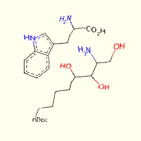 CCCCCCCCCCCCCCC(O)C(O)C(N)CO.NC(Cc1c[nH]c2ccccc12)C(=O)O